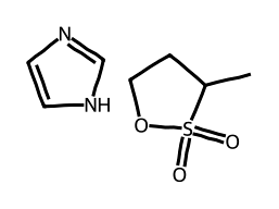 CC1CCOS1(=O)=O.c1c[nH]cn1